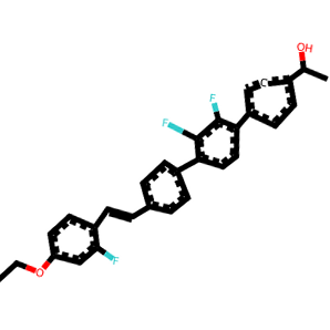 CCOc1ccc(/C=C/c2ccc(-c3ccc(-c4ccc(C(C)O)cc4)c(F)c3F)cc2)c(F)c1